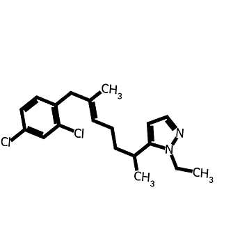 CCn1nccc1C(C)CCC=C(C)Cc1ccc(Cl)cc1Cl